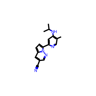 Cc1cnc(-c2ccc3cc(C#N)cnn23)cc1NC(C)C